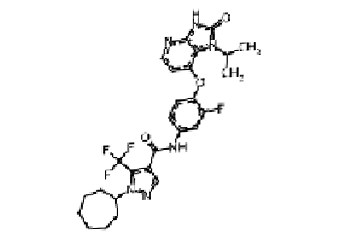 CC(C)n1c(=O)[nH]c2nccc(Oc3ccc(NC(=O)c4cnn(C5CCCCCC5)c4C(F)(F)F)cc3F)c21